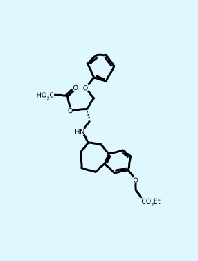 CCOC(=O)COc1ccc2c(c1)CCCC(NC[C@@H](COc1ccccc1)OC(=O)C(=O)O)C2